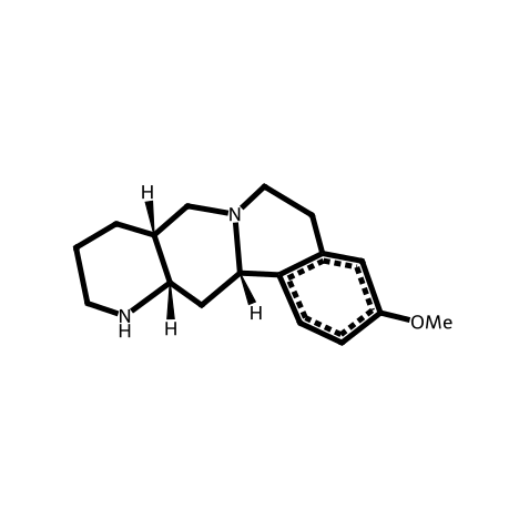 COc1ccc2c(c1)CCN1C[C@H]3CCCN[C@H]3C[C@@H]21